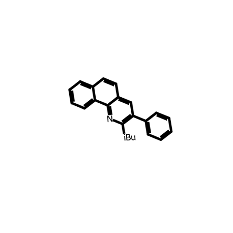 CCC(C)c1nc2c(ccc3ccccc32)cc1-c1ccccc1